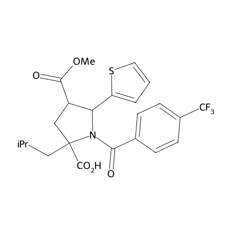 COC(=O)C1CC(CC(C)C)(C(=O)O)N(C(=O)c2ccc(C(F)(F)F)cc2)C1c1cccs1